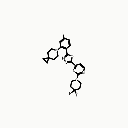 FC1(F)CCN(c2nccc(-c3nnc(-c4ccc(I)cc4N4CCC5(CC4)CC5)o3)n2)CC1